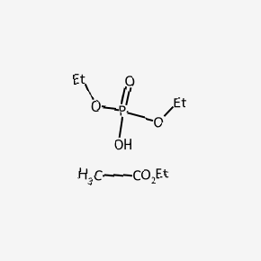 CCOC(C)=O.CCOP(=O)(O)OCC